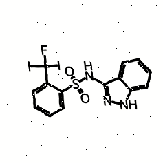 O=S(=O)(Nc1n[nH]c2ccccc12)c1ccccc1C(F)(I)I